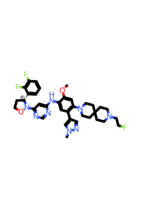 COc1cc(N2CCC3(CCN(CCF)CC3)CC2)c(-c2cnn(C)c2)cc1Nc1cc(N2OCC[C@@H]2c2cccc(F)c2F)ncn1